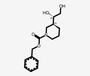 O=C(OCc1ccccc1)N1CCC[C@H]([C@H](O)CO)C1